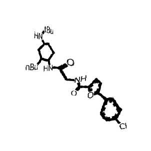 CCCCC1CC(NC(C)(C)C)CCC1NC(=O)CNC(=O)c1ccc(-c2ccc(Cl)cc2)o1